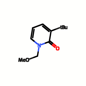 COCn1cccc(C(C)(C)C)c1=O